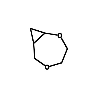 C1COC2CC2CO1